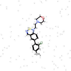 Cc1ccc(-c2ccc3c(c2)C=NSN3CCN2CCOCC2)c(Cl)c1